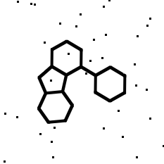 C1CCC(C2CCCC3CC4CCCCC4C32)CC1